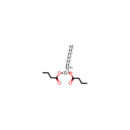 CCCC(=O)[O][Ti+2][O]C(=O)CCC.[H-].[H-].[H-].[H-].[H-].[H-].[Ti+4]